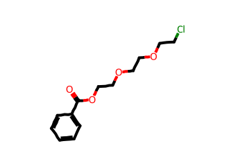 O=C(OCCOCCOCCCl)c1ccccc1